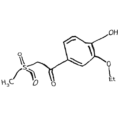 CCOc1cc(C(=O)CS(C)(=O)=O)ccc1O